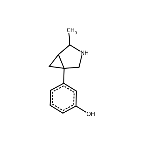 CC1NCC2(c3cccc(O)c3)CC12